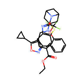 CCOC(=O)c1ccc2nc(N3C4CC(NCc5c(-c6ccccc6OC(F)(F)F)noc5C5CC5)CC3C4)sc2c1